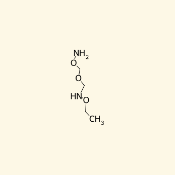 CCONCOCON